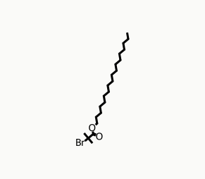 CCCCCCCCCCCCCCCCCCOC(=O)C(C)(C)Br